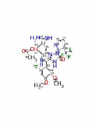 CC(=O)O.COc1cc(F)c(C(Nc2ccc(C(=N)N)cc2)c2nn(-c3ncccc3C(F)(F)F)c(=O)[nH]2)cc1OC